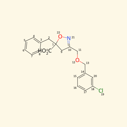 O=C(O)C1(Cc2ccccc2)CC(COCc2cccc(Cl)c2)=NO1